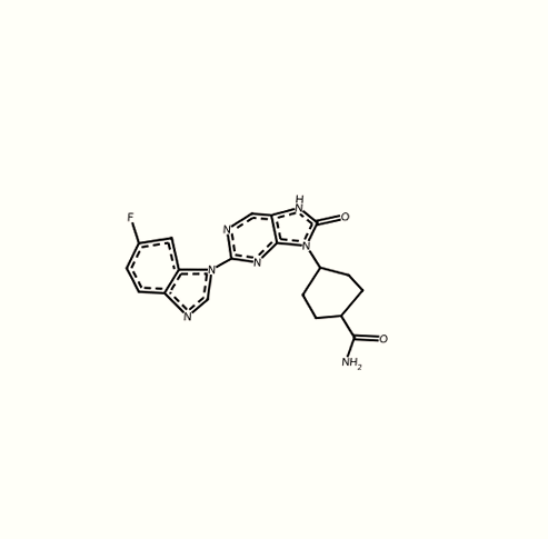 NC(=O)C1CCC(n2c(=O)[nH]c3cnc(-n4cnc5ccc(F)cc54)nc32)CC1